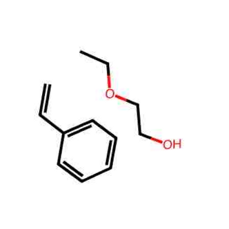 C=Cc1ccccc1.CCOCCO